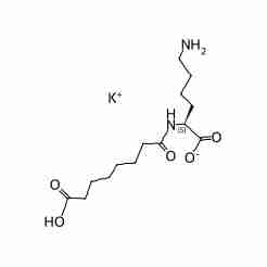 NCCCC[C@H](NC(=O)CCCCCCC(=O)O)C(=O)[O-].[K+]